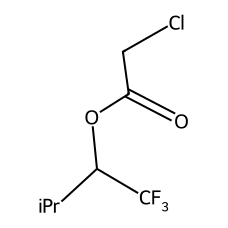 CC(C)C(OC(=O)CCl)C(F)(F)F